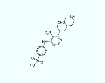 CS(=O)(=O)c1ccc(Nc2ncnc(C(CC3CCNCC3)OC=O)c2[N+](=O)[O-])cc1